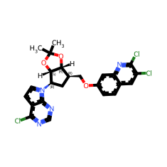 CC1(C)O[C@@H]2[C@@H](COc3ccc4cc(Cl)c(Cl)nc4c3)C[C@@H](n3ccc4c(Cl)ncnc43)[C@@H]2O1